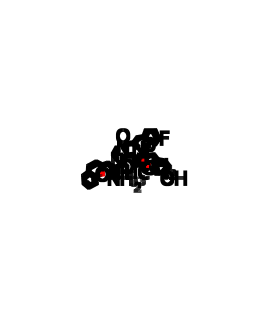 CC(=O)NC(Cc1ccc(O)cc1)C(=O)NC(Cc1ccc(F)cc1)C(=O)N1CCN(C(C)(Cc2ccc3ccccc3c2)C(N)=O)C(=O)C1CCCN